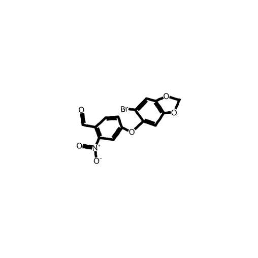 O=Cc1ccc(Oc2cc3c(cc2Br)OCO3)cc1[N+](=O)[O-]